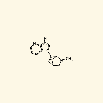 CN1CC2C=C(c3c[nH]c4ncccc34)C1C2